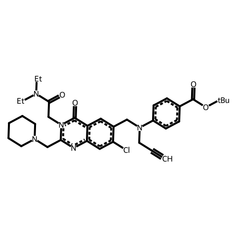 C#CCN(Cc1cc2c(=O)n(CC(=O)N(CC)CC)c(CN3CCCCC3)nc2cc1Cl)c1ccc(C(=O)OC(C)(C)C)cc1